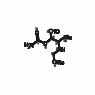 COCNC(C(C=O)OC(N)=O)C(C)(C)C